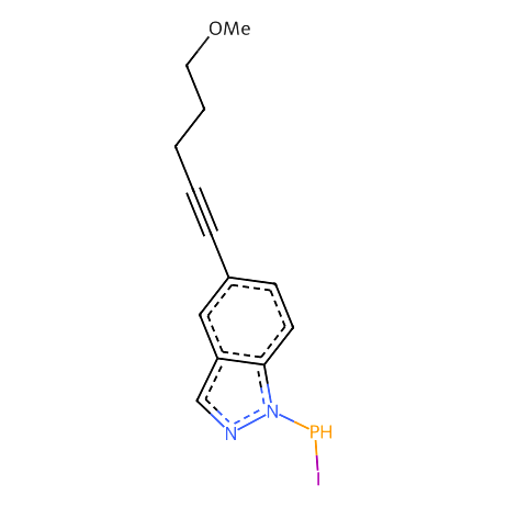 COCCCC#Cc1ccc2c(cnn2PI)c1